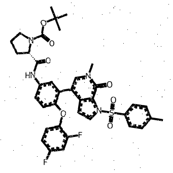 Cc1ccc(S(=O)(=O)n2ccc3c(-c4cc(NC(=O)[C@@H]5CCCN5C(=O)OC(C)(C)C)ccc4Oc4ccc(F)cc4F)cn(C)c(=O)c32)cc1